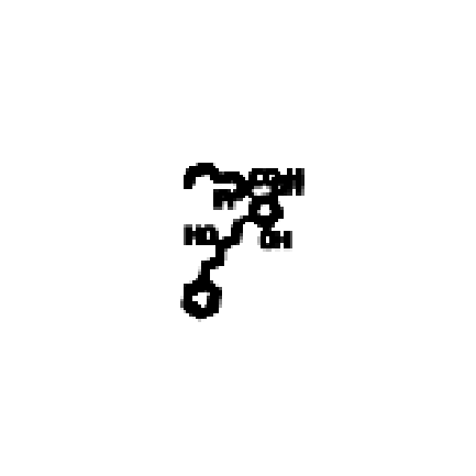 C/C=C\CCC(C(=O)O)(C(C)C)[C@H]1[C@@H](CC[C@@H](O)CCc2ccccc2)[C@H](O)C[C@@H]1O